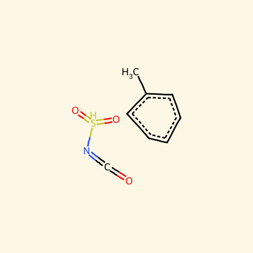 Cc1ccccc1.O=C=N[SH](=O)=O